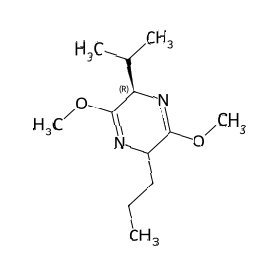 CCCC1N=C(OC)[C@@H](C(C)C)N=C1OC